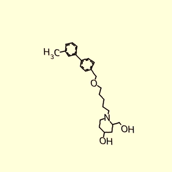 Cc1cccc(-c2ccc(COCCCCCN3CCC(O)CC3CO)cc2)c1